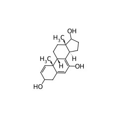 C[C@]12C=CC(O)CC1=CC(O)=C1[C@H]2CC[C@]2(C)C(O)CC[C@@H]12